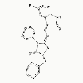 O=C1Nc2ccc(F)cc2C1=NN=C1SC(=Cc2ccccc2)C(=O)N1c1ccccc1